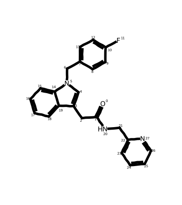 O=C(Cc1cn(Cc2ccc(F)cc2)c2ccccc12)NCc1ccccn1